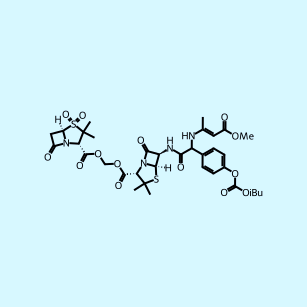 COC(=O)C=C(C)NC(C(=O)N[C@@H]1C(=O)N2[C@@H]1SC(C)(C)[C@@H]2C(=O)OCOC(=O)[C@@H]1N2C(=O)C[C@H]2S(=O)(=O)C1(C)C)c1ccc(OC(=O)OCC(C)C)cc1